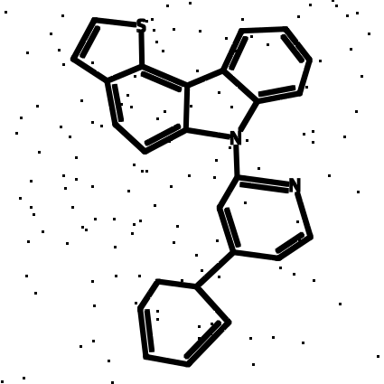 C1=CCC(c2ccnc(-n3c4ccccc4c4c5sccc5ccc43)c2)C=C1